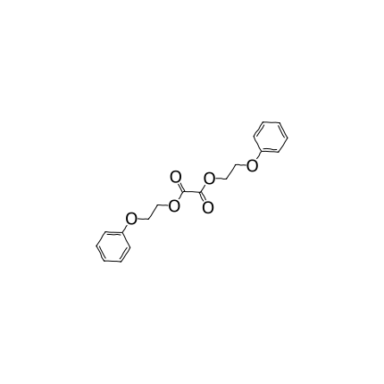 O=C(OCCOc1ccccc1)C(=O)OCCOc1ccccc1